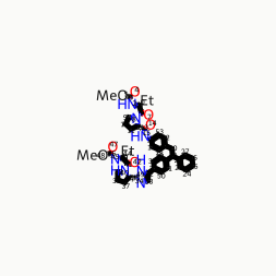 CC[C@H](NC(=O)OC)C(=O)N1CCC[C@H]1C(=O)Nc1ccc(CC(c2ccccc2)c2ccc(-c3cnc([C@@H]4CCCN4C(=O)[C@H](CC)NC(=O)OC)[nH]3)cc2)cc1